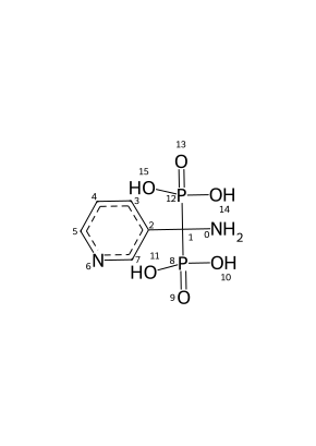 NC(c1cccnc1)(P(=O)(O)O)P(=O)(O)O